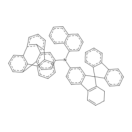 C1=CC2=C(CC1)C1(c3cc(N(c4ccc5c(c4)-c4c6cccc4-c4cccc-5c4-c4ccccc4-6)c4cccc5ccccc45)ccc32)c2ccccc2-c2ccccc21